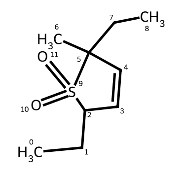 CCC1C=CC(C)(CC)S1(=O)=O